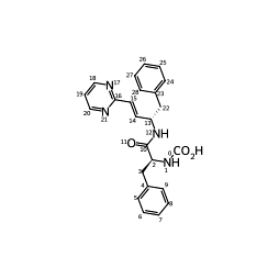 O=C(O)N[C@@H](Cc1ccccc1)C(=O)N[C@H](/C=C/c1ncccn1)Cc1ccccc1